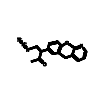 CC(=O)C(CN=[N+]=[N-])c1ccc2c(c1)Cc1cccnc1O2